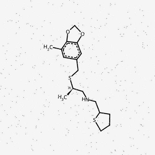 Cc1cc(CS[C@H](C)CNCC2CCCS2)cc2c1OCO2